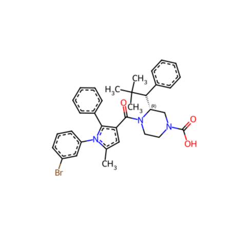 Cc1cc(C(=O)N2CCN(C(=O)O)C[C@H]2C(c2ccccc2)C(C)(C)C)c(-c2ccccc2)n1-c1cccc(Br)c1